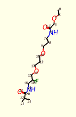 CCOCC(=O)NCCCOCCCOCC(F)CNC(=O)C(C)C